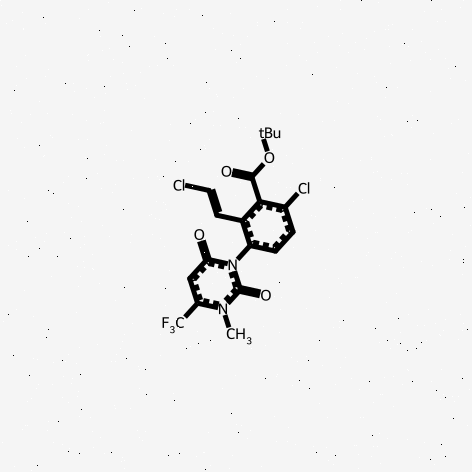 Cn1c(C(F)(F)F)cc(=O)n(-c2ccc(Cl)c(C(=O)OC(C)(C)C)c2C=CCl)c1=O